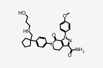 COc1ccc(-n2nc(C(N)=O)c3c2C(=O)N(c2ccc(C4(CNCCCO)CCCC4)cc2)CC3)cc1